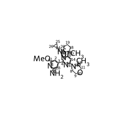 COc1cc(-c2nc(N3CCOC[C@H]3C)cc([C@]3(C)CCCS3(=O)=NC3CC3)n2)cc(N)n1